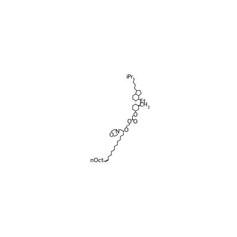 C=C1CC(OCC(=O)OCCOC(CCCCCCCCCC/C=C\CCCCCCCC)CN2CCOCC2)CC[C@@H]1C1CCC2C(CCCCC(C)C)CCC2C1CC